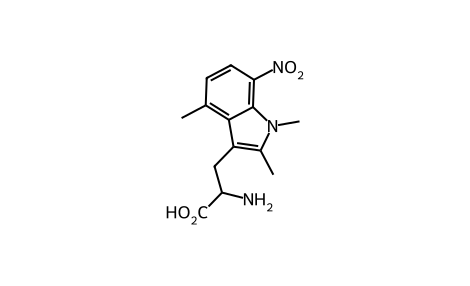 Cc1ccc([N+](=O)[O-])c2c1c(CC(N)C(=O)O)c(C)n2C